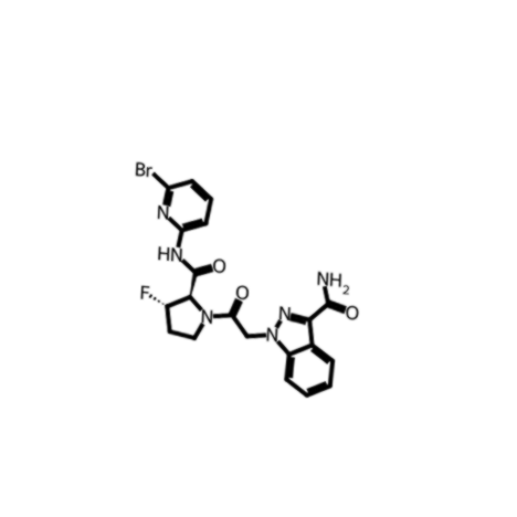 NC(=O)c1nn(CC(=O)N2CC[C@H](F)[C@H]2C(=O)Nc2cccc(Br)n2)c2ccccc12